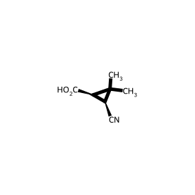 CC1(C)[C@H](C(=O)O)[C@@H]1C#N